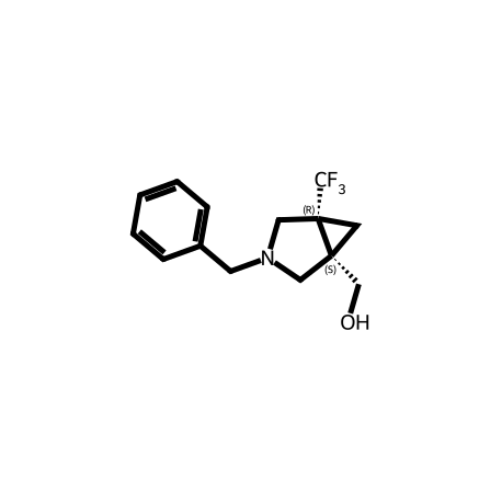 OC[C@]12CN(Cc3ccccc3)C[C@@]1(C(F)(F)F)C2